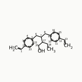 C=Cc1ccc(CC(Cc2ccc(C=C)cc2)C(CC)CO)cc1